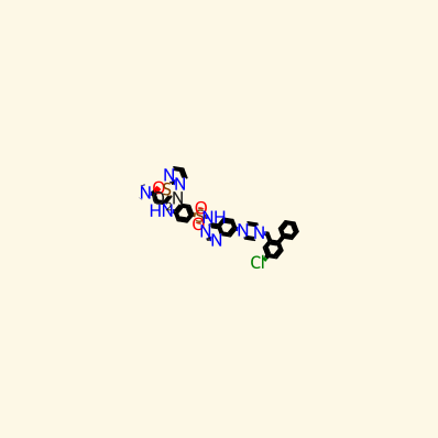 CN(C)C(=O)CC(CSc1ncccn1)Nc1ccc(S(=O)(=O)Nc2ncnc3cc(N4CCN(Cc5cc(Cl)ccc5-c5ccccc5)CC4)ccc23)cc1[N+](=O)[O-]